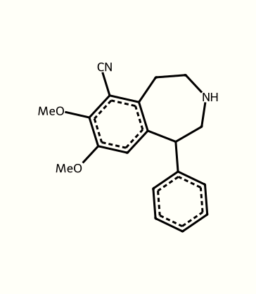 COc1cc2c(c(C#N)c1OC)CCNCC2c1ccccc1